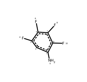 Nc1cc(F)c(F)c(F)c1F